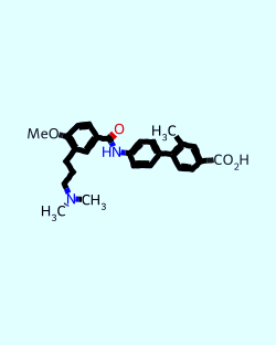 COc1ccc(C(=O)Nc2ccc(-c3ccc(C(=O)O)cc3C)cc2)cc1CCCN(C)C